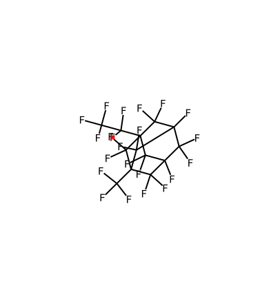 FC(F)(F)C(F)(F)C12C(F)(F)C3(F)C(F)(F)C(F)(C(F)(F)C(C(F)(F)F)(C3(F)F)C1(F)F)C2(F)F